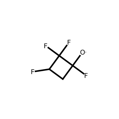 [O]C1(F)CC(F)C1(F)F